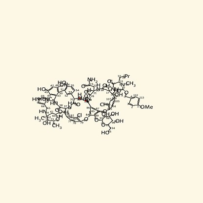 COc1ccc(COC(=O)N(C)[C@H](CC(C)C)C(=O)N[C@H]2C(=O)N[C@@H](CC(N)=O)C(=O)N[C@H]3C(=O)N[C@H]4C(=O)N[C@H](C(=O)N[C@@H](C(=O)O)c5cc(O)cc(O)c5-c5cc4ccc5O)[C@H](OC4C[C@](C)(NCc5c[nH]cn5)[C@@H](O)[C@H](C)O4)c4ccc(c(Cl)c4)Oc4cc3cc(c4O[C@@H]3O[C@H](CO)[C@@H](O)[C@H](O)[C@H]3O)Oc3ccc(cc3Cl)[C@H]2O)cc1